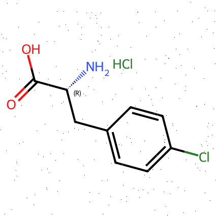 Cl.N[C@H](Cc1ccc(Cl)cc1)C(=O)O